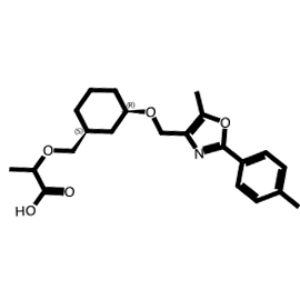 Cc1ccc(-c2nc(CO[C@@H]3CCC[C@H](COC(C)C(=O)O)C3)c(C)o2)cc1